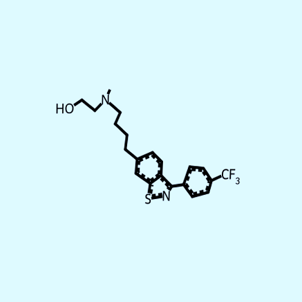 CN(CCO)CCCCc1ccc2c(-c3ccc(C(F)(F)F)cc3)nsc2c1